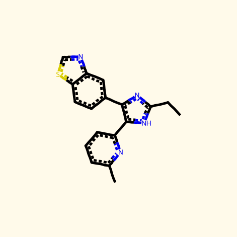 CCc1nc(-c2ccc3scnc3c2)c(-c2cccc(C)n2)[nH]1